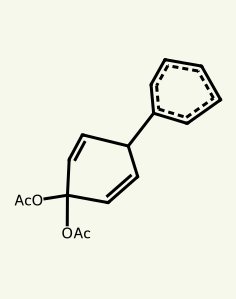 CC(=O)OC1(OC(C)=O)C=CC(c2ccccc2)C=C1